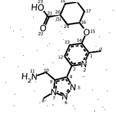 Cc1nc(-c2nnn(C)c2CN)ccc1OC1CCC[C@H](C(=O)O)C1